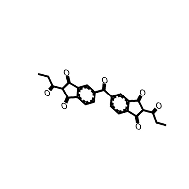 CCC(=O)C1C(=O)c2ccc(C(=O)c3ccc4c(c3)C(=O)C(C(=O)CC)C4=O)cc2C1=O